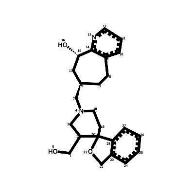 OCC1CN(C[C@@H]2CCc3cccnc3[C@@H](O)C2)CCC12OCc1ccccc12